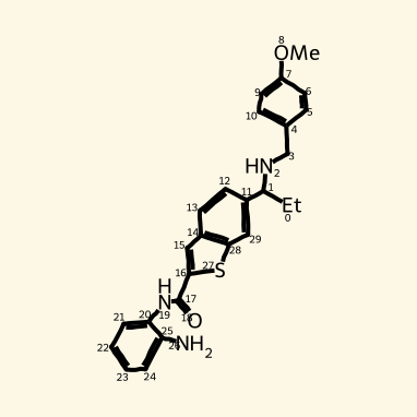 CCC(NCc1ccc(OC)cc1)c1ccc2cc(C(=O)Nc3ccccc3N)sc2c1